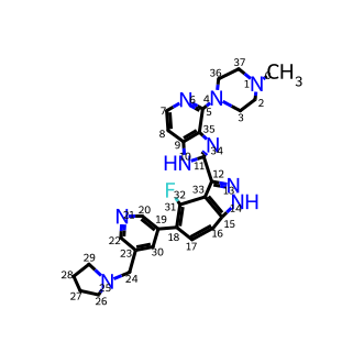 CN1CCN(c2nccc3[nH]c(-c4n[nH]c5ccc(-c6cncc(CN7CCCC7)c6)c(F)c45)nc23)CC1